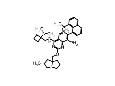 C=C(C)c1cccc2cccc(-c3ncc4c(NCC5(N(C)C)CCC5)nc(OC[C@@]56CCCN5C[C@H](C)C6)nc4c3P)c12